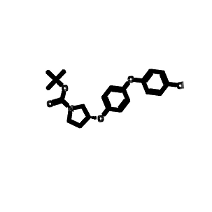 CC(C)(C)OC(=O)N1CC[C@@H](Oc2ccc(Oc3ccc(Cl)cc3)cc2)C1